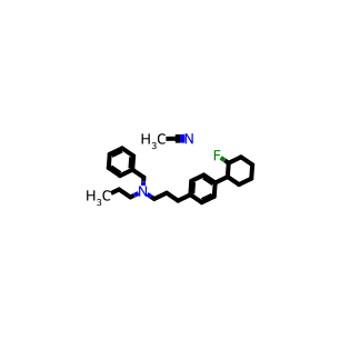 CC#N.CCCN(CCCc1ccc(C2CCCCC2F)cc1)Cc1ccccc1